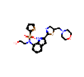 O=S(=O)(c1cccs1)N(CCO)c1cccc2cc(C3=NCC(CN4CCOCC4)S3)[nH]c12